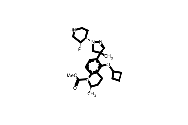 COC(=O)N1c2ccc(C3(C)C=NN([C@H]4CCNC[C@H]4F)C3)c(OC3CCC3)c2CC[C@@H]1C